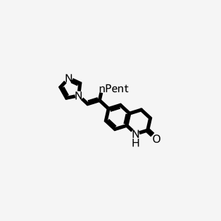 CCCCCC(=Cn1ccnc1)c1ccc2c(c1)CCC(=O)N2